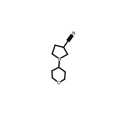 N#CC1CCN(C2CCOCC2)C1